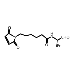 CC(C)[C@@H]([C]=O)NC(=O)CCCCCN1C(=O)C=CC1=O